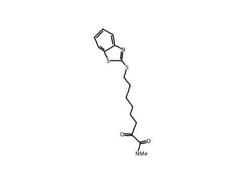 CNC(=O)C(=O)CCCCCCSc1nc2ccccc2s1